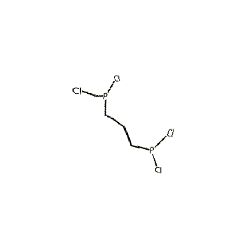 ClP(Cl)CCCP(Cl)Cl